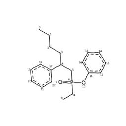 CCCCC(CP(=O)(CC)Oc1ccccc1)c1ccccc1